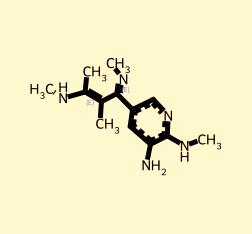 C/N=C(\C(C)=C(/C)NC)c1cnc(NC)c(N)c1